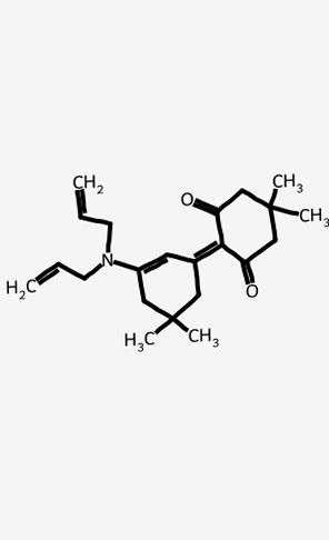 C=CCN(CC=C)C1=CC(=C2C(=O)CC(C)(C)CC2=O)CC(C)(C)C1